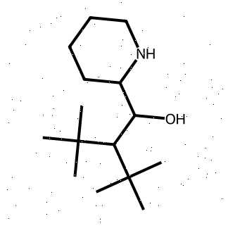 CC(C)(C)C(C(O)C1CCCCN1)C(C)(C)C